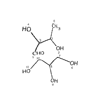 CC(O)C(O)C=O.OCC(O)CO